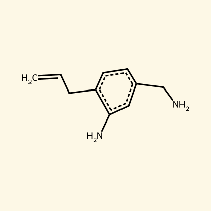 C=CCc1ccc(CN)cc1N